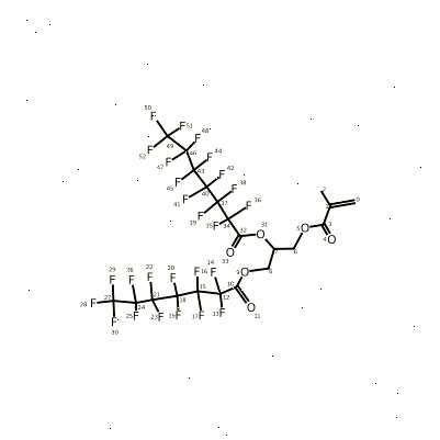 C=C(C)C(=O)OCC(COC(=O)C(F)(F)C(F)(F)C(F)(F)C(F)(F)C(F)(F)C(F)(F)F)OC(=O)C(F)(F)C(F)(F)C(F)(F)C(F)(F)C(F)(F)C(F)(F)F